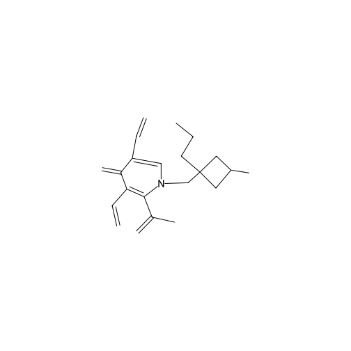 C=CC1=CN(CC2(CCC)CC(C)C2)C(C(=C)C)=C(C=C)C1=C